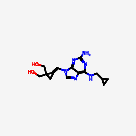 Nc1nc(NCC2CC2)c2ncn(C=C3CC3(CO)CO)c2n1